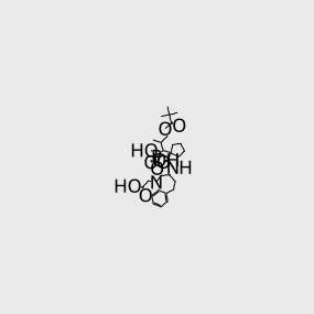 CC(COC(=O)C(C)(C)C)C(C1(C(=O)N[C@H]2CCc3ccccc3N(CC(=O)O)C2=O)CCCC1)P(=O)(O)O